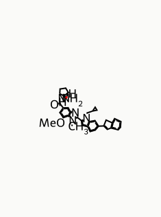 COc1cc(C(=O)N2C[C@H]3CCC2[C@H]3N)cc2nc(-c3cc4ccc(C5=Cc6ccccc6C5)cc4n3CC3CC3)n(C)c12